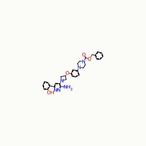 Nc1nnc(-c2ccccc2O)cc1N1CC(Oc2cccc(N3CCN(C(=O)OCc4ccccc4)CC3)c2)C1